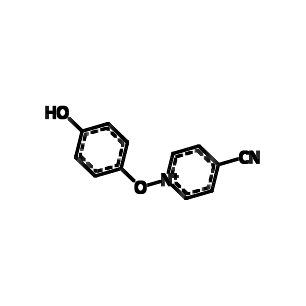 N#Cc1cc[n+](Oc2ccc(O)cc2)cc1